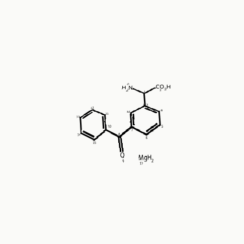 NC(C(=O)O)c1cccc(C(=O)c2ccccc2)c1.[MgH2]